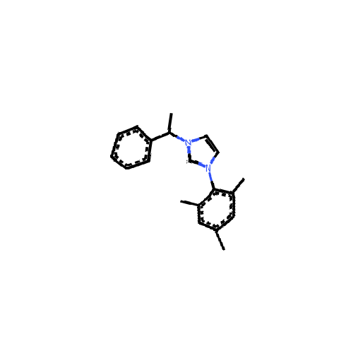 Cc1cc(C)c(N2[C]N(C(C)c3ccccc3)C=C2)c(C)c1